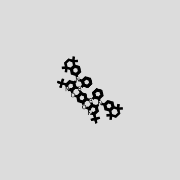 CC(C)(C)c1cc2c3c(n1)Oc1cc4c(cc1B3c1ccccc1N2c1ccc2c(c1)C(C)(C)CCC2(C)C)B1c2ccccc2N(c2ccc3c(c2)C(C)(C)CCC3(C)C)c2cc(C(C)(C)C)nc(c21)O4